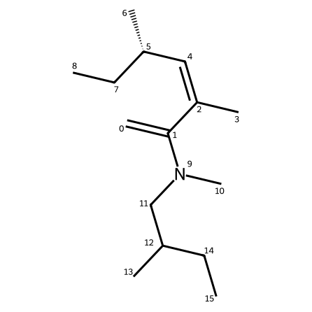 C=C(/C(C)=C\[C@@H](C)CC)N(C)CC(C)CC